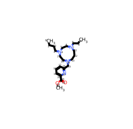 CCCCN1CCN(CCC)CCCN(Cc2cccc(C(=O)OC)n2)CC1